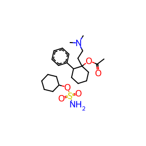 CC(=O)OC1(CCN(C)C)CCCCC1c1ccccc1.NS(=O)(=O)OC1CCCCC1